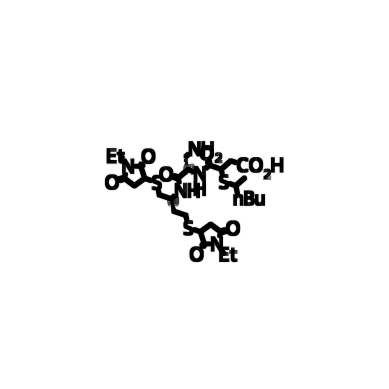 CCCCC(C)SC(CC(=O)O)C(=O)N[C@@H](CN)C(=O)N[C@@H](CCSC1CC(=O)N(CC)C1=O)CSC1CC(=O)N(CC)C1=O